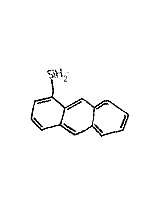 [SiH2]c1cccc2cc3ccccc3cc12